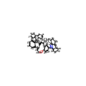 C=C1/C=C([Si](c2ccccc2)(c2ccccc2)c2ccccc2)\C=C/COc2ccc(N3c4ccccc4C4CCCC43)cc21